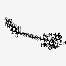 CC(=O)NC1C(C)OC(CO)C(OC2OC(CNC(=O)CCOCCOCCOCCNC(=O)c3ccc(-c4nnc(C)nn4)cc3)C(O)C(O)C2O)C1O